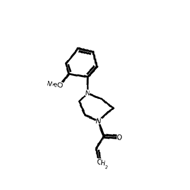 C=CC(=O)N1CCN(c2ccccc2OC)CC1